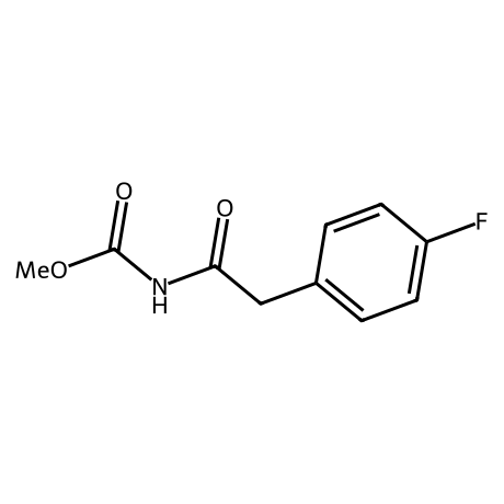 COC(=O)NC(=O)Cc1ccc(F)cc1